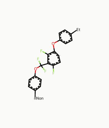 CCCCCCCCCc1ccc(OC(F)(F)c2c(F)c[c]c(Oc3ccc(CC)cc3)c2F)cc1